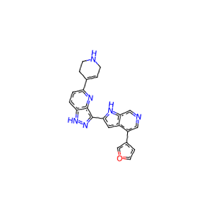 C1=C(c2ccc3[nH]nc(-c4cc5c(-c6ccoc6)cncc5[nH]4)c3n2)CCNC1